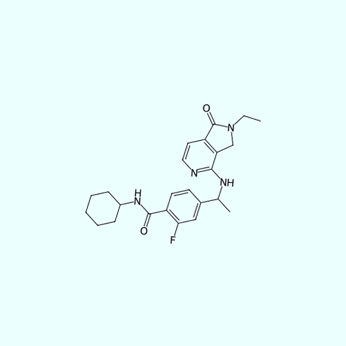 CCN1Cc2c(ccnc2NC(C)c2ccc(C(=O)NC3CCCCC3)c(F)c2)C1=O